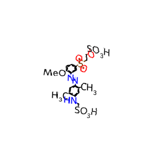 COc1ccc(S(=O)(=O)CCOS(=O)(=O)O)cc1/N=N/c1cc(C)c(NCS(=O)(=O)O)cc1C